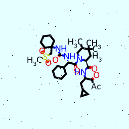 CC(=O)C(=O)C(CC1CC1)NC(=O)[C@@H]1CC(C)(C)C(C)CN1C(=O)[C@@H](NC(=O)NC1(CS(C)(=O)=O)CCCCC1)C1CCCCC1